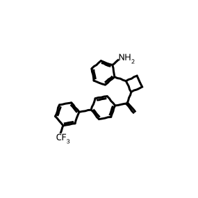 C=C(c1ccc(-c2cccc(C(F)(F)F)c2)cc1)C1CCC1c1ccccc1N